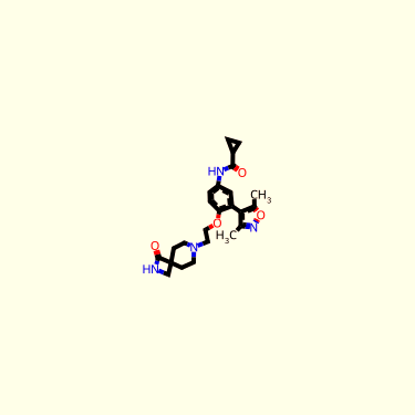 Cc1noc(C)c1-c1cc(NC(=O)C2CC2)ccc1OCCN1CCC2(CC1)CNC2=O